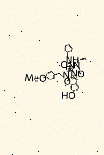 C#CCN1CC(=O)N2[C@@H](Cc3ccc(O)cc3)C(=O)N(CCc3ccc(OC)cc3)C[C@@H]2N1C(=O)NCc1ccccc1